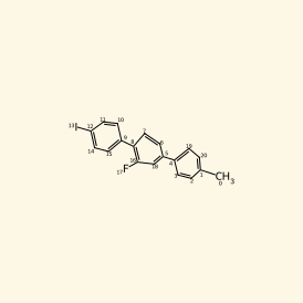 Cc1ccc(-c2ccc(-c3ccc(I)cc3)c(F)c2)cc1